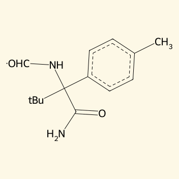 Cc1ccc(C(N[C]=O)(C(N)=O)C(C)(C)C)cc1